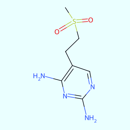 CS(=O)(=O)CCc1cnc(N)nc1N